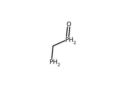 O=[PH2]CP